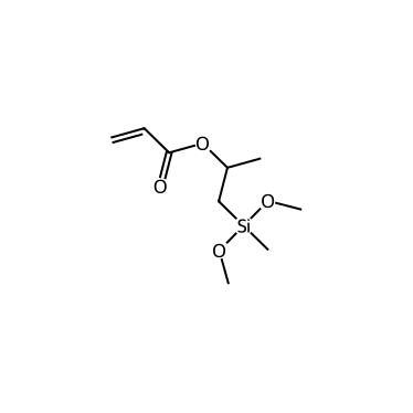 C=CC(=O)OC(C)C[Si](C)(OC)OC